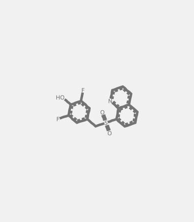 O=S(=O)(Cc1cc(F)c(O)c(F)c1)c1cccc2cccnc12